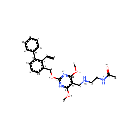 C=Cc1c(COc2nc(OC)c(CNCCNC(C)=O)c(OC)n2)cccc1-c1ccccc1